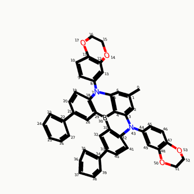 Cc1cc2c3c(c1)N(c1ccc4c(c1)OCCO4)c1ccc(-c4ccccc4)cc1B3c1cc(-c3ccccc3)ccc1N2c1ccc2c(c1)OCCO2